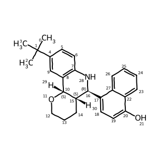 CC(C)(C)c1ccc2c(c1)[C@H]1OCCC[C@H]1[C@H](c1ccc(O)c3ccccc13)N2